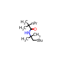 CCCC(C)(C)C(=O)NC(C)(C)CC(C)(C)C